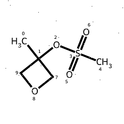 CC1(OS(C)(=O)=O)COC1